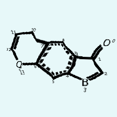 O=C1C=Bc2cc3c(cc21)CC=CO3